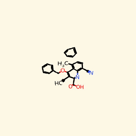 C#Cc1c(C(=O)O)nc2c(C#N)ccc(C)c2c1OCc1ccccc1.c1ccccc1